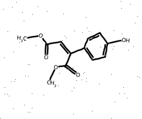 COC(=O)C=C(C(=O)OC)c1ccc(O)cc1